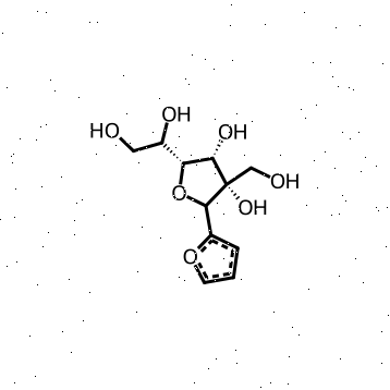 OCC(O)[C@H]1OC(c2ccco2)[C@](O)(CO)[C@H]1O